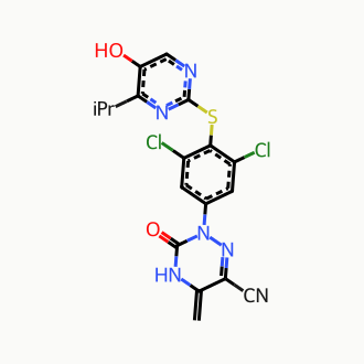 C=C1NC(=O)N(c2cc(Cl)c(Sc3ncc(O)c(C(C)C)n3)c(Cl)c2)N=C1C#N